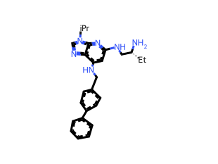 CC[C@@H](N)CNc1cc(NCc2ccc(-c3ccccc3)cc2)c2ncn(C(C)C)c2n1